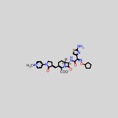 C[n+]1ccc(N2CCC(=CC3=C(C(=O)[O-])N4C(=O)[C@@H](NC(=O)/C(=N\OC5CCCC5)c5csc(N)n5)[C@H]4CC3)C2=O)cc1